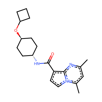 Cc1cc(C)n2ccc(C(=O)N[C@H]3CC[C@H](OC4CCC4)CC3)c2n1